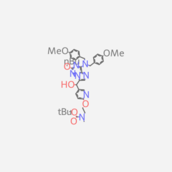 CCCCOc1nc(N(Cc2ccc(OC)cc2)Cc2ccc(OC)cc2)c2ncc(C(O)c3ccc(OCCN(C)C(=O)OC(C)(C)C)nc3)n2n1